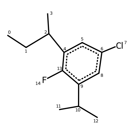 CCC(C)c1cc(Cl)cc(C(C)C)c1F